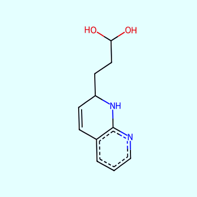 OC(O)CCC1C=Cc2cccnc2N1